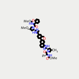 COC[C@H]1C[C@@H](c2ncc(-c3ccc4c(c3)COc3cc5c(ccc6nc([C@@H]7C[C@H](C)CN7C(=O)[C@@H](NC(=O)OC)C(C)C)[nH]c65)cc3-4)[nH]2)N(C(=O)C(NC(=O)OC)c2ccccc2)C1